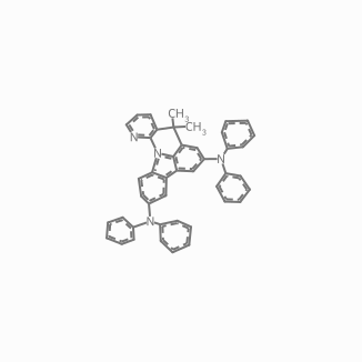 CC1(C)c2cccnc2-n2c3ccc(N(c4ccccc4)c4ccccc4)cc3c3cc(N(c4ccccc4)c4ccccc4)cc1c32